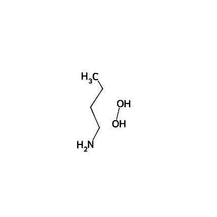 CCCCN.OO